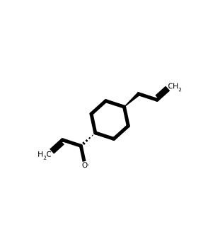 C=CC[C@H]1CC[C@H](C([O])C=C)CC1